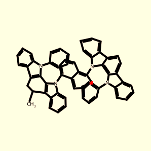 CC1Cc2c(n(-c3ccccc3)c3ccccc23)-c2c1c1ccccc1n2-c1cccc2c(-n3c4ccccc4c4ccc5c6ccccc6n(-c6ccccc6)c5c43)cccc12